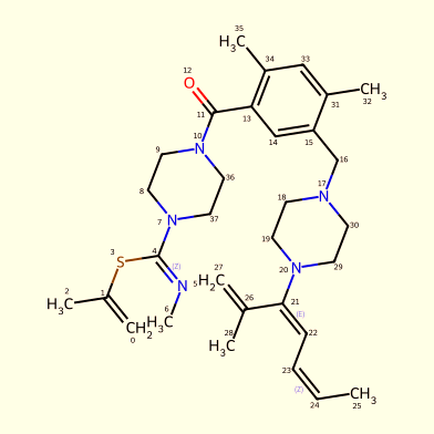 C=C(C)S/C(=N\C)N1CCN(C(=O)c2cc(CN3CCN(/C(=C/C=C\C)C(=C)C)CC3)c(C)cc2C)CC1